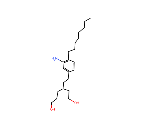 CCCCCCCCc1ccc(CCC(CCO)CCCO)cc1N